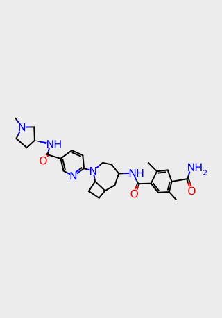 Cc1cc(C(=O)NC2CCN(c3ccc(C(=O)N[C@H]4CCN(C)C4)cn3)C3CCC3C2)c(C)cc1C(N)=O